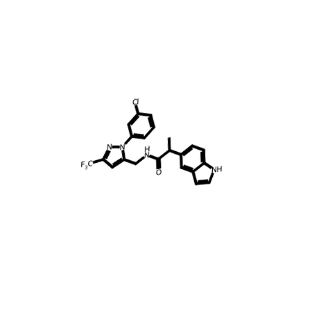 CC(C(=O)NCc1cc(C(F)(F)F)nn1-c1cccc(Cl)c1)c1ccc2[nH]ccc2c1